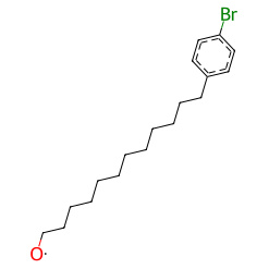 [O]CCCCCCCCCCCCc1ccc(Br)cc1